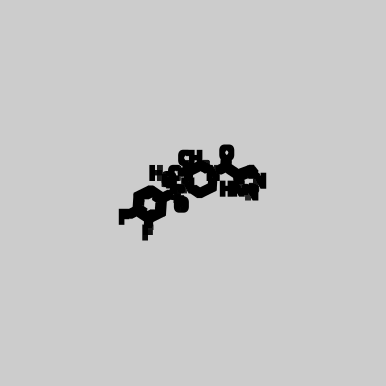 CC1(C)CN(C(=O)c2cnn[nH]2)CCN1S(=O)(=O)c1ccc(F)c(F)c1